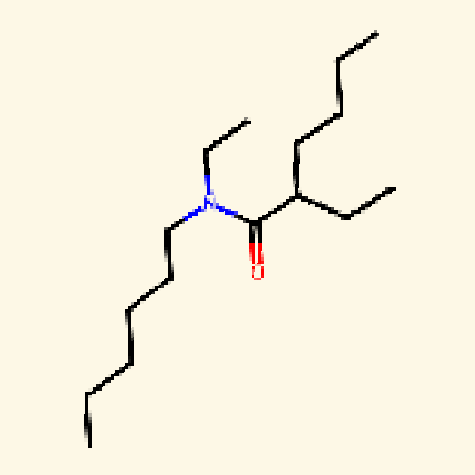 CCCCCCN(CC)C(=O)C(CC)CCCC